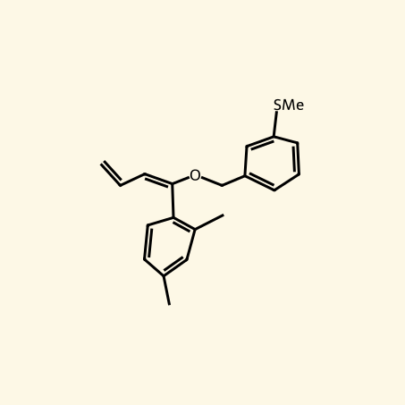 C=C/C=C(/OCc1cccc(SC)c1)c1ccc(C)cc1C